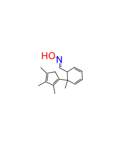 CC1=C(C)C(C)=C(C2(C)C=CC=CC2/C=N/O)C1